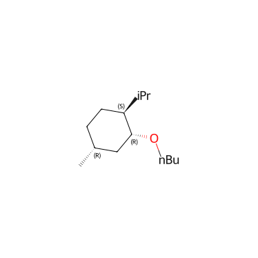 CCCCO[C@@H]1C[C@H](C)CC[C@H]1C(C)C